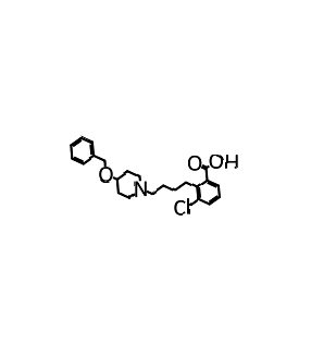 O=C(O)c1cccc(Cl)c1CCCCN1CCC(OCc2ccccc2)CC1